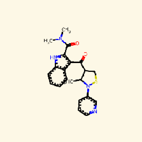 CN(C)C(=O)c1[nH]c2ccccc2c1C(=O)C1CSN(c2cccnc2)C1C=O